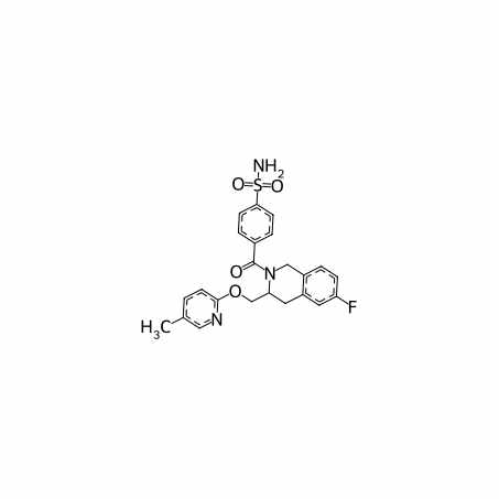 Cc1ccc(OCC2Cc3cc(F)ccc3CN2C(=O)c2ccc(S(N)(=O)=O)cc2)nc1